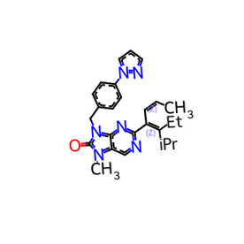 C/C=C\C(=C(/CC)C(C)C)c1ncc2c(n1)n(Cc1ccc(-n3cccn3)cc1)c(=O)n2C